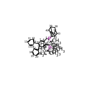 CC(C)(C)P(Cc1cc(-c2ccccc2)c(-c2ccccc2)cc1CP(C(C)(C)C)C(C)(C)C)C1C2CC3CC(C2)CC1C3